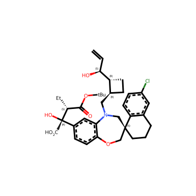 C=C[C@H](O)[C@@H]1CC[C@H]1CN1C[C@@]2(CCCc3cc(Cl)ccc32)COc2ccc([C@@](O)(C(=O)O)[C@H](CC)C(=O)OC(C)(C)C)cc21